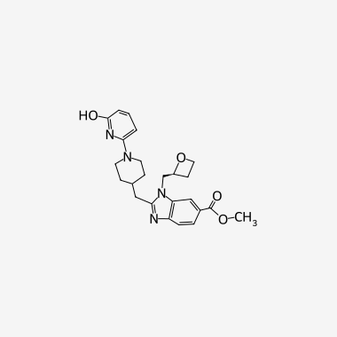 COC(=O)c1ccc2nc(CC3CCN(c4cccc(O)n4)CC3)n(C[C@@H]3CCO3)c2c1